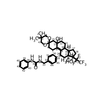 CC1(C)COC2(CCC3=C4[C@@H](CC[C@@]3(O)C2)[C@@H]2CC[C@@](O)(C(F)(F)C(F)(F)F)[C@@]2(C)C[C@@H]4c2ccc(CNC(=O)Nc3ccccc3)cc2)OC1